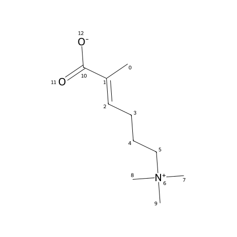 C/C(=C\CCC[N+](C)(C)C)C(=O)[O-]